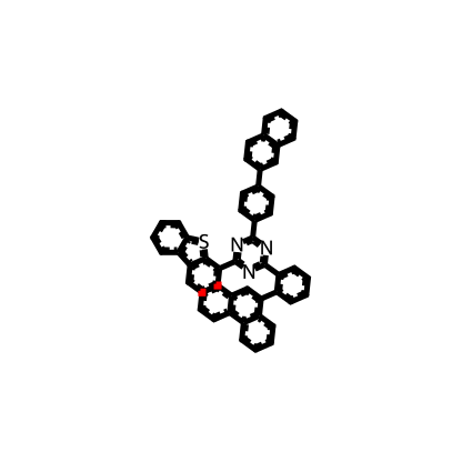 c1ccc(-c2cc3ccccc3c3ccccc23)c(-c2nc(-c3ccc(-c4ccc5ccccc5c4)cc3)nc(-c3cccc4c3sc3ccccc34)n2)c1